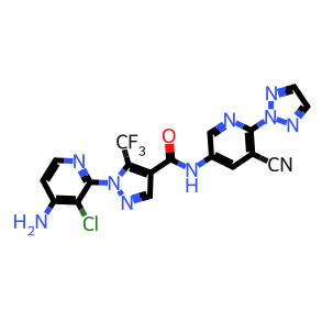 N#Cc1cc(NC(=O)c2cnn(-c3nccc(N)c3Cl)c2C(F)(F)F)cnc1-n1nccn1